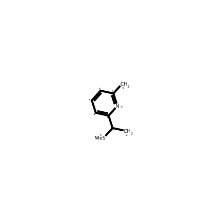 CSC(C)c1cccc(C)n1